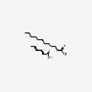 C/C=C/C=C/C(=O)O.CCCCCCCCCCCC(=O)O